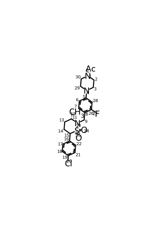 CC(=O)N1CCN(c2ccc(CN3[C@@H](C)CCC(c4ccc(Cl)cc4)S3(=O)=O)c(F)c2)CC1